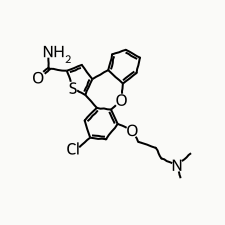 CN(C)CCCOc1cc(Cl)cc2c1Oc1ccccc1-c1cc(C(N)=O)sc1-2